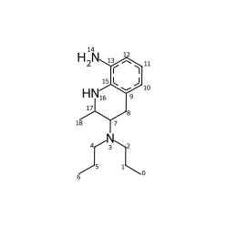 CCCN(CCC)C1Cc2cccc(N)c2NC1C